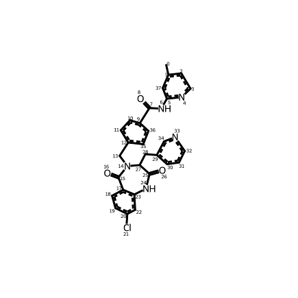 Cc1ccnc(NC(=O)c2ccc(CN3C(=O)c4ccc(Cl)cc4NC(=O)C3Cc3cccnc3)cc2)c1